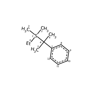 CCS(C)(C)C(C)(C)c1ccccc1